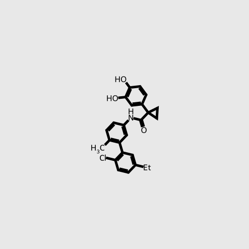 CCc1ccc(Cl)c(-c2cc(NC(=O)C3(c4ccc(O)c(O)c4)CC3)ccc2C)c1